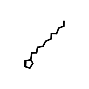 CCCCCCCCCCCC1C=CCC1